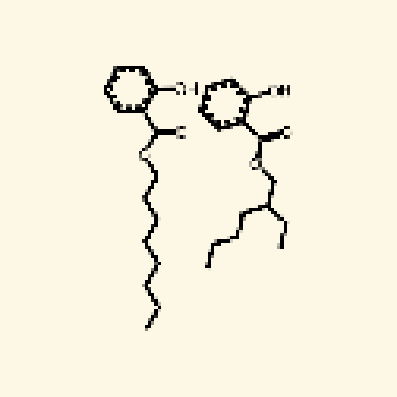 CCCCC(CC)COC(=O)c1ccccc1O.CCCCCCCCOC(=O)c1ccccc1O